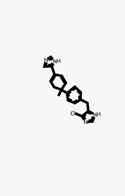 CC1(c2ccc(Cc3[nH]cnc3Cl)cc2)C=CC(c2cnc[nH]2)=CC1